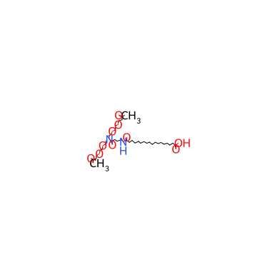 CC(=O)CCOCCOCCN(CCOCCOCCC(C)=O)C(=O)CCCNC(=O)CCCCCCCCCCCCCCCCC(=O)O